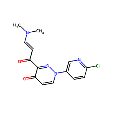 CN(C)C=CC(=O)c1nn(-c2ccc(Cl)nc2)ccc1=O